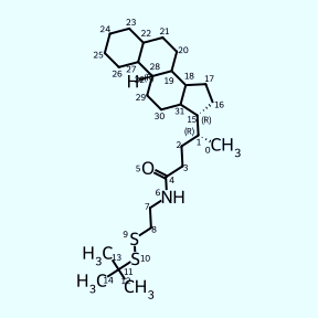 C[C@H](CCC(=O)NCCSSC(C)(C)C)[C@H]1CCC2C3CCC4CCCCC4[C@H]3CCC21